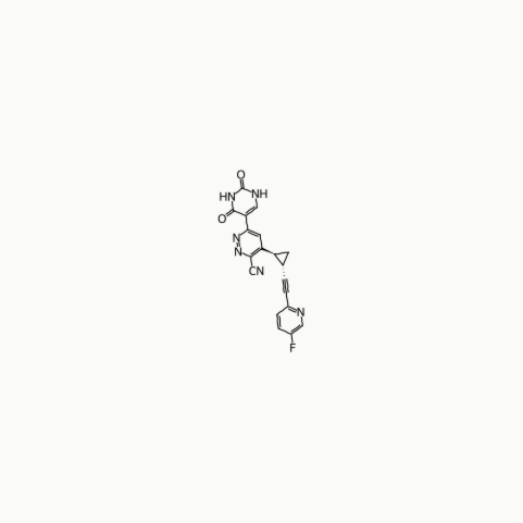 N#Cc1nnc(-c2c[nH]c(=O)[nH]c2=O)cc1[C@H]1C[C@@H]1C#Cc1ccc(F)cn1